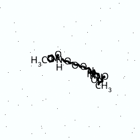 CC1CCN(C(=O)NCCOCCOCCOCCn2cc(CN3C(=O)CC(C)C3=O)nn2)CC1